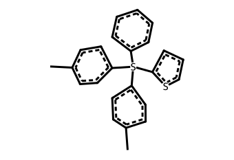 Cc1ccc(S(c2ccccc2)(c2ccc(C)cc2)c2cccs2)cc1